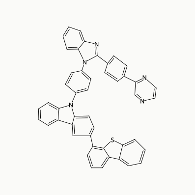 c1ccc2c(c1)nc(-c1ccc(-c3cnccn3)cc1)n2-c1ccc(-n2c3ccccc3c3cc(-c4cccc5c4sc4ccccc45)ccc32)cc1